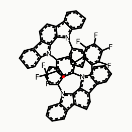 Fc1c(F)c(F)c(-c2cc(-n3c4ccccc4c4ccc5c6ccccc6n(-c6ccccc6)c5c43)c(C(F)(F)F)cc2-n2c3ccccc3c3ccc4c5ccccc5n(-c5ccccc5)c4c32)c(F)c1F